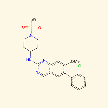 CCCS(=O)(=O)N1CCC(Nc2ncc3cc(-c4ccccc4Cl)c(OC)cc3n2)CC1